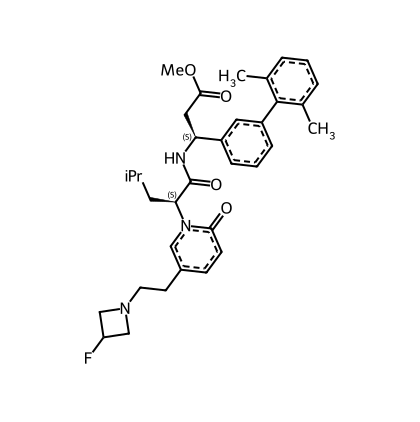 COC(=O)C[C@H](NC(=O)[C@H](CC(C)C)n1cc(CCN2CC(F)C2)ccc1=O)c1cccc(-c2c(C)cccc2C)c1